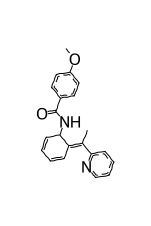 COc1ccc(C(=O)NC2C=CC=CC2=C(C)c2ccccn2)cc1